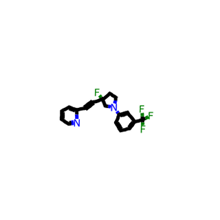 FC1(C#Cc2ccccn2)CCN(c2cccc(C(F)(F)F)c2)C1